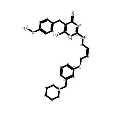 COc1ccc(Cc2c(C)[nH]c(NC/C=C\COc3cccc(CN4CCCCC4)c3)nc2=O)cc1